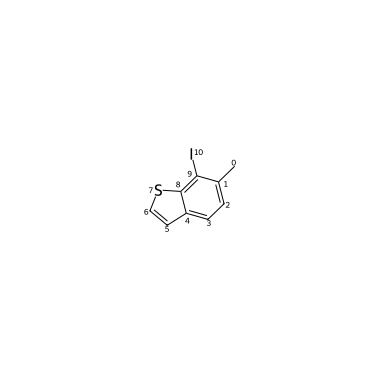 Cc1ccc2ccsc2c1I